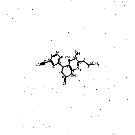 CCCc1nc2c(c(=O)n1S)C(c1cccc(C#N)c1)CC(=O)N2